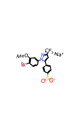 COc1cc(-n2nc(C(F)(F)F)cc2-c2ccc(S(=O)[O-])cc2)ccc1Br.[Na+]